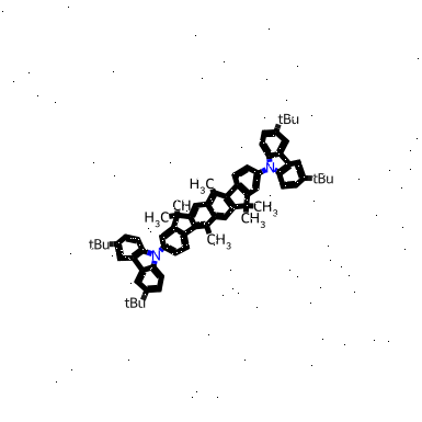 Cc1c2c(cc3c(C)c4c(cc13)C(C)(C)c1cc(-n3c5ccc(C(C)(C)C)cc5c5cc(C(C)(C)C)ccc53)ccc1-4)C(C)(C)c1cc(-n3c4ccc(C(C)(C)C)cc4c4cc(C(C)(C)C)ccc43)ccc1-2